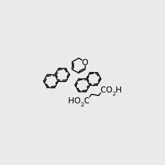 C1=CCOC=C1.O=C(O)CCC(=O)O.c1ccc2ccccc2c1.c1ccc2ccccc2c1